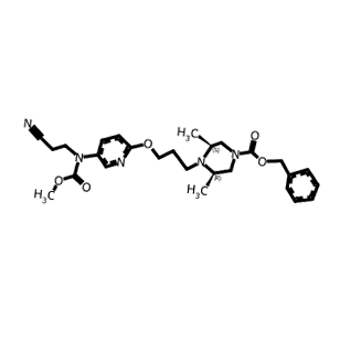 COC(=O)N(CCC#N)c1ccc(OCCCN2[C@H](C)CN(C(=O)OCc3ccccc3)C[C@@H]2C)nc1